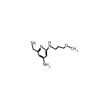 COCCCNc1cc(N)cc(CS)n1